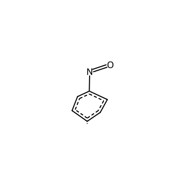 O=Nc1cc[c]cc1